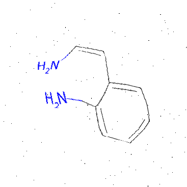 N/C=C\c1ccccc1N